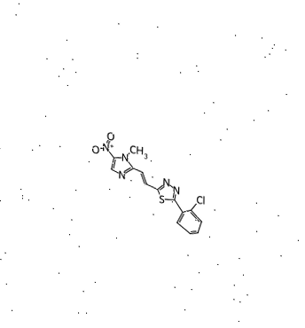 Cn1c([N+](=O)[O-])cnc1/C=C/c1nnc(-c2ccccc2Cl)s1